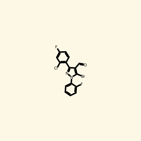 O=Cc1c(-c2ccc(F)cc2Cl)nn(-c2ccccc2F)c1Br